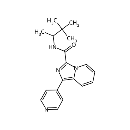 CC(NC(=O)c1nc(-c2ccncc2)c2ccccn12)C(C)(C)C